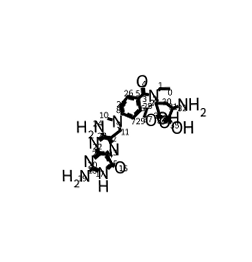 CCN(C(=O)c1ccc(N(C)Cc2nc3c(=O)[nH]c(N)nc3nc2N)cc1)[C@@](CC)(CC(N)C(=O)O)C(=O)O